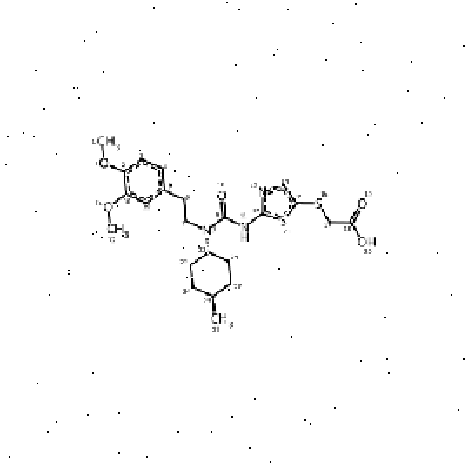 COc1ccc(CCN(C(=O)Nc2ncc(SCC(=O)O)s2)[C@H]2CC[C@H](C)CC2)cc1OC